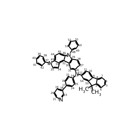 CC1(C)c2ccccc2-c2ccc(N(c3ccc(-c4cccnc4)cc3)c3ccc4c(c3)c3c5ccn(-c6ccccc6)c5ccc3n4-c3ccccc3)cc21